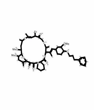 CCC1/C=C(\C)CC(C)CC(OC)C2OC(O)(C(=O)C(=O)N3CCCCC3C(=O)OC(C(C)=CC3CCC(OCCCc4ccccc4)C(OC)C3)C(C)CCC1=O)C(C)CC2OC